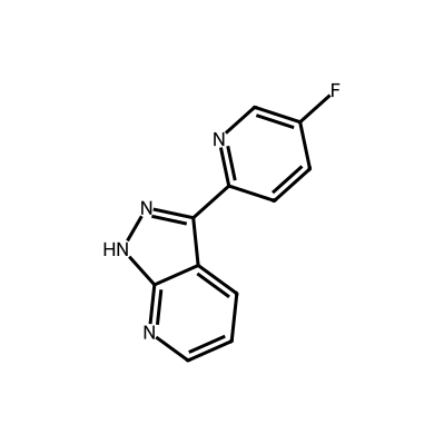 Fc1ccc(-c2n[nH]c3ncccc23)nc1